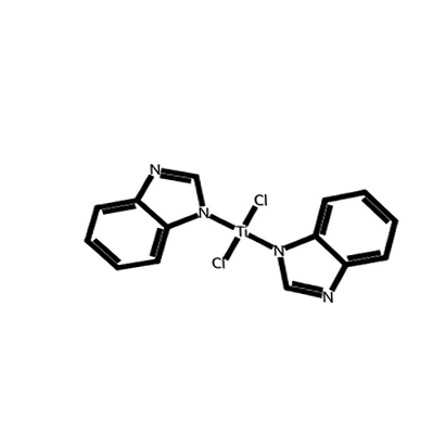 [Cl][Ti]([Cl])([n]1cnc2ccccc21)[n]1cnc2ccccc21